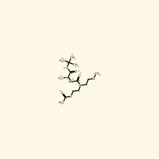 COCCN(CCSC(C)=O)C(=O)N[C@@H](C)C(=O)OC(C)(C)C